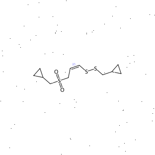 O=S(=O)(C/C=C\SSCC1CC1)CC1CC1